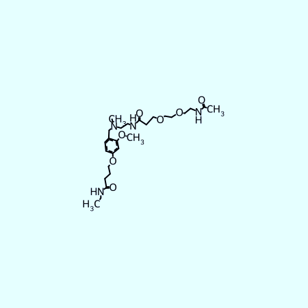 CCNC(=O)CCCOc1ccc(CN(C)CCNC(=O)CCOCCOCCNC(C)=O)c(OC)c1